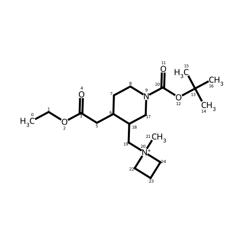 CCOC(=O)CC1CCN(C(=O)OC(C)(C)C)CC1C[N+]1(C)CCC1